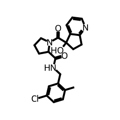 Cc1ccc(Cl)cc1CNC(=O)C1CCCN1C(=O)C1(O)CCc2ncccc21